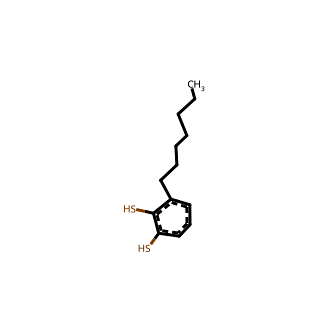 CCCCCCCc1cccc(S)c1S